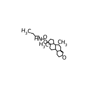 CCCCCNC(=O)O[C@H]1CCC2C3C(CC[C@@]21C)C1CCC(=O)C=C1C[C@H]3C